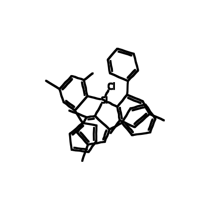 Cc1cc(C)c([Si](Cl)(c2c(C)cc(C)cc2-c2ccccc2)c2c(C)cc(C)cc2-c2ccccc2)c(-c2ccccc2)c1